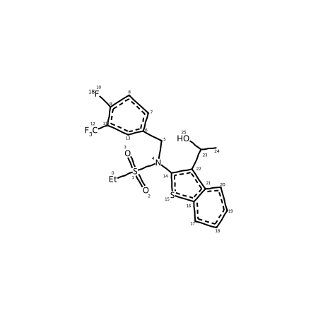 CCS(=O)(=O)N(Cc1ccc([18F])c(C(F)(F)F)c1)c1sc2ccccc2c1C(C)O